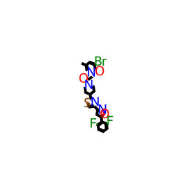 Cc1cc(Br)c(=O)n(CC(=O)N2CCC(c3nc(C4=NOC(c5c(F)cccc5F)C4)cs3)CC2)c1